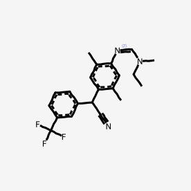 CCN(C)/C=N\c1cc(C)c(C(C#N)c2cccc(C(F)(F)F)c2)cc1C